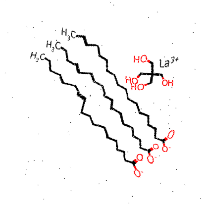 CCCCCCCCCCCCCCCCCC(=O)[O-].CCCCCCCCCCCCCCCCCC(=O)[O-].CCCCCCCCCCCCCCCCCC(=O)[O-].OCC(CO)(CO)CO.[La+3]